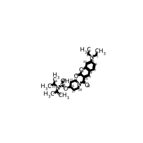 CCN(CC)c1ccc2cc(C(=O)N3CCC(OP(O)N(C(C)C)C(C)C)CC3)c(=O)oc2c1